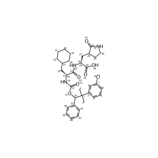 CC(C)(c1cccc(Cl)c1)C(OC(=O)N[C@@H](CC1CCCCC1)C(=O)N[C@@H](CC1CCNC1=O)C(=O)O)c1ccccc1